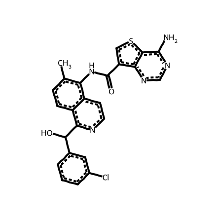 Cc1ccc2c(C(O)c3cccc(Cl)c3)nccc2c1NC(=O)c1csc2c(N)ncnc12